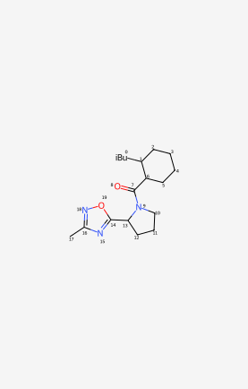 CCC(C)C1CCCCC1C(=O)N1CCCC1c1nc(C)no1